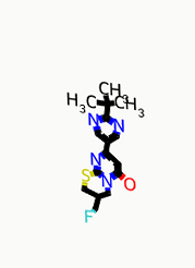 CC(C)(C)c1ncc(-c2cc(=O)n3c(n2)SCC(CF)C3)cn1